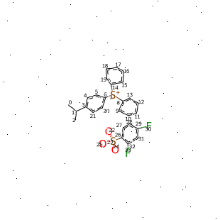 CC(C)c1ccc([S+](c2ccccc2)c2ccccc2)cc1.O=S(=O)([O-])c1ccc(F)cc1F